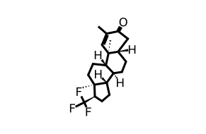 CC1=C[C@@]2(C)[C@@H](CC[C@@H]3[C@@H]2CC[C@@]2(C)[C@H]3CC[C@H]2C(F)(F)F)CC1=O